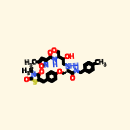 Cc1ccc(CNC(=O)[C@H](COc2ccc(C=C3SC(=O)N(C)C3=O)cc2)NC[C@H](O)[C@@H](C=O)NC(=O)c2cc(C)on2)cc1